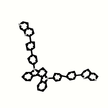 c1ccc2c(c1)c1c3c4ccccc4n(-c4ccc(-c5ccc(-c6ccc7ccncc7n6)cc5)cc4)c3ccc1n2-c1ccc(-c2ccc(-c3ccc4ccncc4n3)cc2)cc1